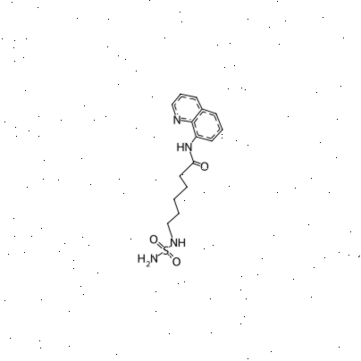 NS(=O)(=O)NCCCCCC(=O)Nc1cccc2cccnc12